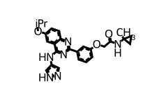 CC(C)Oc1ccc2nc(-c3cccc(OCC(=O)NC4(C)CC4)c3)nc(Nc3cn[nH]c3)c2c1